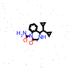 NC(=O)N1C(=O)[C]NC(C(C2CC2)C2CC2)c2ccccc21